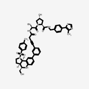 Cc1ccc(S(=O)(=O)N2CC[C@@H]3[C@H](CO)Nc4ccc(-c5cccc(C#CCC(=O)N[C@H](C(=O)N6C[C@H](O)C[C@H]6C(=O)NCc6ccc(-c7scnc7C)cc6)C(C)(C)C)c5)cc4[C@@H]32)cc1